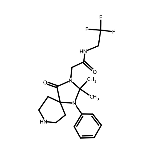 CC1(C)N(CC(=O)NCC(F)(F)F)C(=O)C2(CCNCC2)N1c1ccccc1